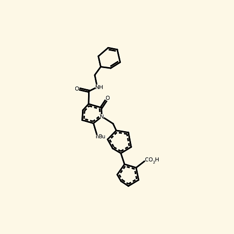 CCCCc1ccc(C(=O)NCC2C=CC=CC2)c(=O)n1Cc1ccc(-c2ccccc2C(=O)O)cc1